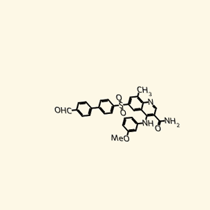 COc1cccc(Nc2c(C(N)=O)cnc3c(C)cc(S(=O)(=O)c4ccc(-c5ccc(C=O)cc5)cc4)cc23)c1